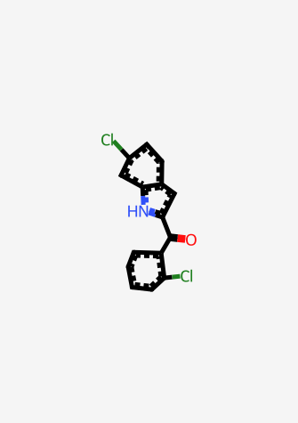 O=C(c1cc2ccc(Cl)cc2[nH]1)c1ccccc1Cl